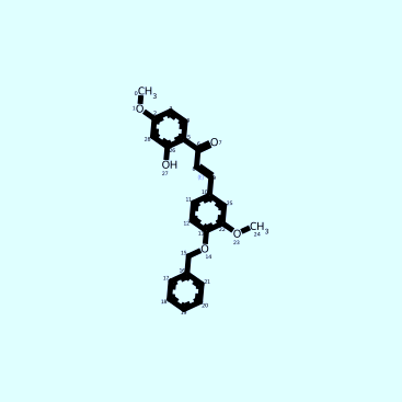 COc1ccc(C(=O)/C=C/c2ccc(OCc3ccccc3)c(OC)c2)c(O)c1